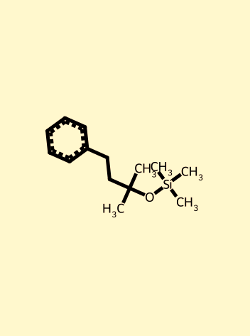 CC(C)(CCc1ccccc1)O[Si](C)(C)C